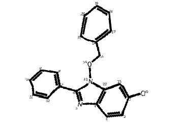 Clc1ccc2nc(-c3ccccc3)n(OCc3ccccc3)c2c1